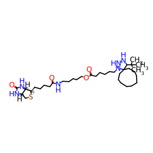 CC(C)(C)C1NNN(CCCCCC(=O)OCCCCCNC(=O)CCCC[C@H]2SC[C@@H]3NC(=O)N[C@@H]32)C12CCCCCCCCC2